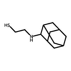 SCCNC1C2CC3CC(C2)CC1C3